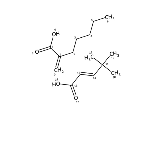 C=C(CCCCC)C(=O)O.CC(C)(C)C=CC(=O)O